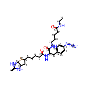 C=C1NC2CC(CCCCC(=O)NC(Cc3ccc(N=[N+]=[N-])cc3)C(=O)NCCCCC(=O)NCC)SC2N1